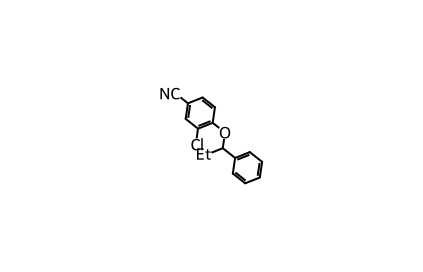 CCC(Oc1ccc(C#N)cc1Cl)c1ccccc1